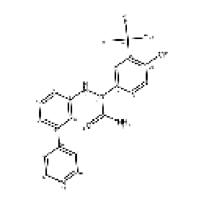 NC(=O)N(Nc1cccc(-c2ccncc2)c1)c1ccc(Cl)c(C(F)(F)F)c1